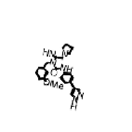 COc1cccc(CN(C(=N)CN2CCCC2)C(=O)Nc2ccc(-c3cn[nH]c3)cc2)c1